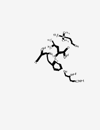 CC(C)CC(N)C(=O)O.C[N+](C)(C)CCO.NC(Cc1ccccc1)C(=O)O.OCC(O)CO